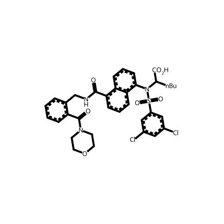 CCCCC(C(=O)O)N(c1cccc2c(C(=O)NCc3ccccc3C(=O)N3CCOCC3)cccc12)S(=O)(=O)c1cc(Cl)cc(Cl)c1